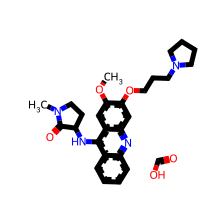 COc1cc2c(NC3CCN(C)C3=O)c3ccccc3nc2cc1OCCCN1CCCC1.O=CO